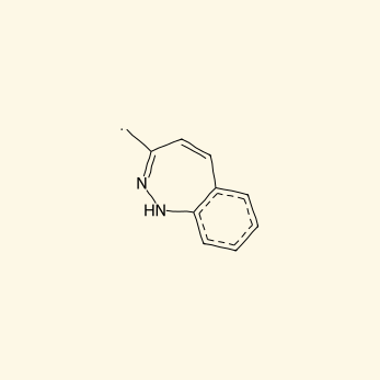 [CH2]C1=NNc2ccccc2C=C1